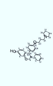 Oc1ccc2c(c1)OC[C@@H](c1ccccc1)[C@@H]2c1ccc(OCCCN2CCCC2)cc1